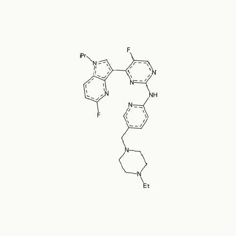 CCN1CCN(Cc2ccc(Nc3ncc(F)c(-c4cn(C(C)C)c5ccc(F)nc45)n3)nc2)CC1